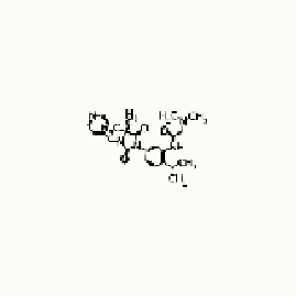 CC(C)c1ccc(N2C(=O)N(Cc3ccncc3)C(C)(C)C2=O)cc1NC(=O)CN(C)C